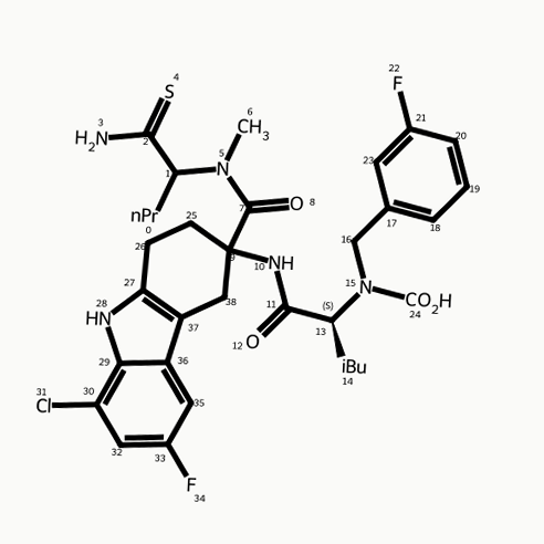 CCCC(C(N)=S)N(C)C(=O)C1(NC(=O)[C@H](C(C)CC)N(Cc2cccc(F)c2)C(=O)O)CCc2[nH]c3c(Cl)cc(F)cc3c2C1